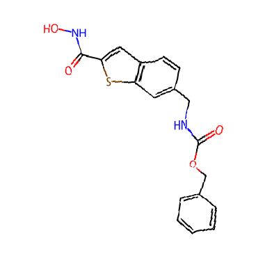 O=C(NCc1ccc2cc(C(=O)NO)sc2c1)OCc1ccccc1